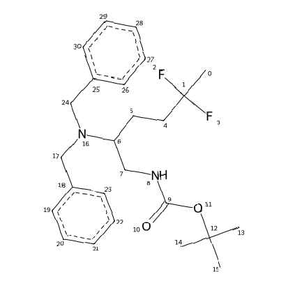 CC(F)(F)CCC(CNC(=O)OC(C)(C)C)N(Cc1ccccc1)Cc1ccccc1